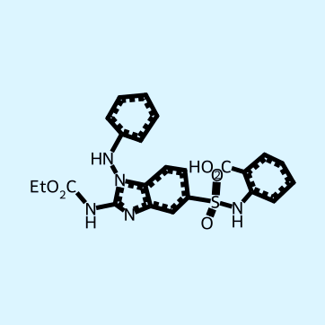 CCOC(=O)Nc1nc2cc(S(=O)(=O)Nc3ccccc3C(=O)O)ccc2n1Nc1ccccc1